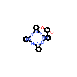 O=C1C=CC(=O)C(c2cccc3c4nc5nc(nc6[nH]c(nc7nc(nc([nH]4)c23)-c2ccccc2-7)c2ccccc62)-c2ccccc2-5)=C1